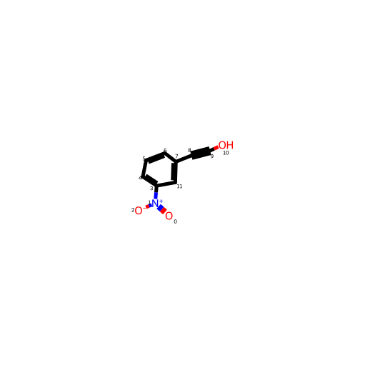 O=[N+]([O-])c1cccc(C#CO)c1